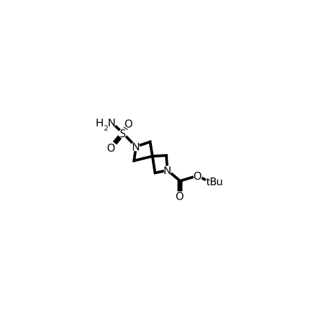 CC(C)(C)OC(=O)N1CC2(C1)CN(S(N)(=O)=O)C2